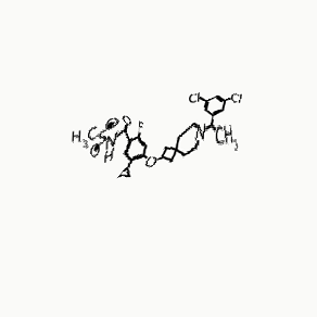 CC(c1cc(Cl)cc(Cl)c1)N1CCC2(CC1)CC(Oc1cc(F)c(C(=O)NS(C)(=O)=O)cc1C1CC1)C2